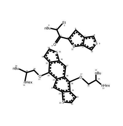 CCCCC(CC)C(=O)c1cc2cscc2s1.CCCCCCC(CCCC)COc1c2ccsc2cc2c(OCC(CCCC)CCCCCC)c3ccsc3cc12